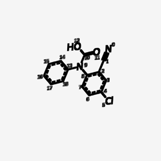 N#Cc1cc(Cl)ccc1N(C(=O)O)c1ccccc1